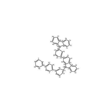 c1ccc(-c2ccc(-c3cccc(-n4c5ccccc5c5ccc(-c6cccc(-n7c8ccccc8c8ccccc87)c6)cc54)c3)cc2)cc1